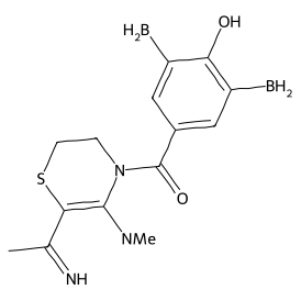 Bc1cc(C(=O)N2CCSC(C(C)=N)=C2NC)cc(B)c1O